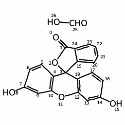 O=C1OC2(c3ccc(O)cc3Oc3cc(O)ccc32)c2ccccc21.O=CO